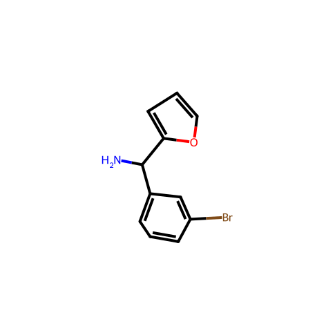 NC(c1cccc(Br)c1)c1ccco1